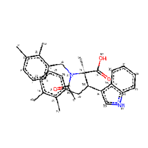 CC(=O)N(Cc1cccc(C)c1C)[C@@](C)(C(=O)O)C(Cc1cccc(C)c1C)c1c[nH]c2ccccc12